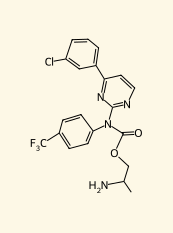 CC(N)COC(=O)N(c1ccc(C(F)(F)F)cc1)c1nccc(-c2cccc(Cl)c2)n1